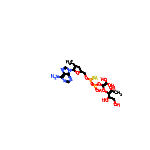 CC(O)C(OC(OP(O)OP(S)OCC1CC(C)C(n2cnc3c(N)ncnc32)O1)C(O)O)C(O)CO